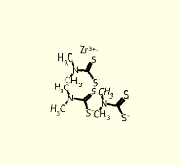 CN(C)C(=S)[S-].CN(C)C(=S)[S-].CN(C)C(=S)[S-].[Zr+3]